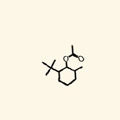 CC(=O)OC1C(C)CCCC1C(C)(C)C